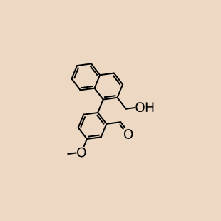 COc1ccc(-c2c(CO)ccc3ccccc23)c(C=O)c1